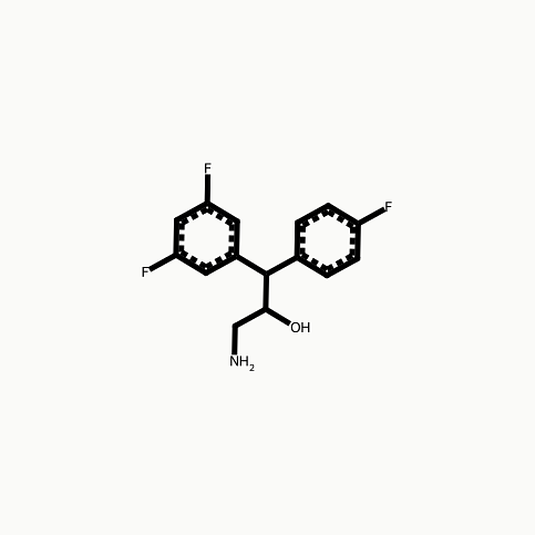 NCC(O)C(c1ccc(F)cc1)c1cc(F)cc(F)c1